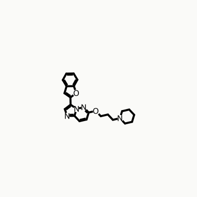 c1ccc2oc(-c3cnc4ccc(OCCCN5CCCCC5)nn34)cc2c1